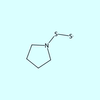 [S]SN1CCCC1